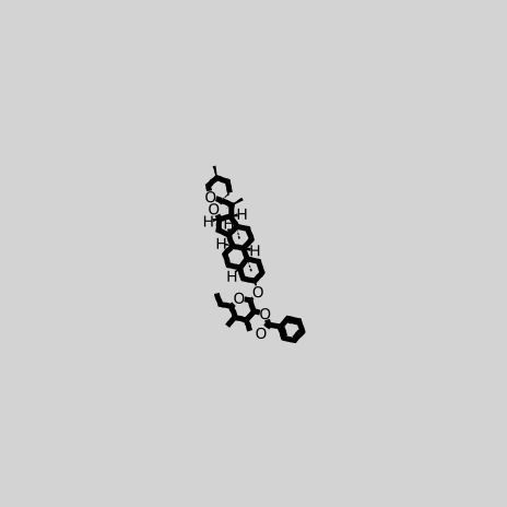 CCC1O[C@@H](O[C@H]2CC[C@@]3(C)[C@H](CC[C@@H]4[C@@H]3CC[C@]3(C)[C@@H]5[C@H](C[C@@H]43)O[C@]3(CC[C@H](C)CO3)[C@H]5C)C2)C(OC(=O)c2ccccc2)C(C)C1C